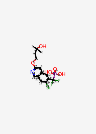 CC(C)(O)CCOc1cc2cc(C(F)(F)P(=O)(O)O)c(Br)cc2cn1